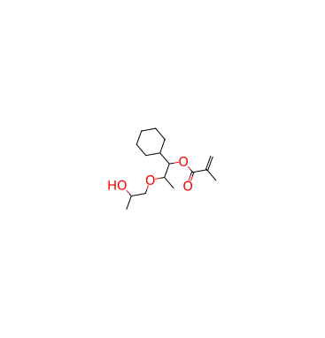 C=C(C)C(=O)OC(C1CCCCC1)C(C)OCC(C)O